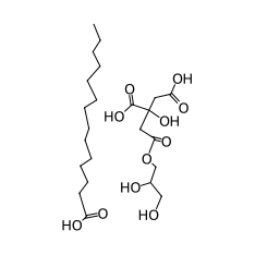 CCCCCCCCCCCCCC(=O)O.O=C(O)CC(O)(CC(=O)OCC(O)CO)C(=O)O